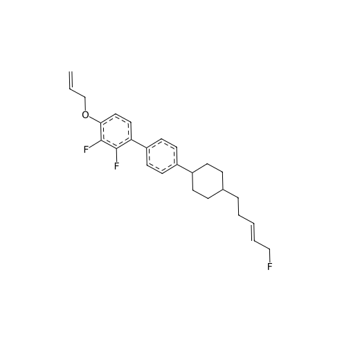 C=CCOc1ccc(-c2ccc(C3CCC(CCC=CCF)CC3)cc2)c(F)c1F